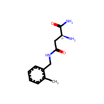 Cc1ccccc1CNC(=O)C[C@H](N)C(N)=O